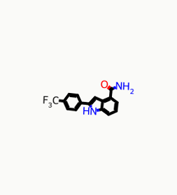 NC(=O)c1cccc2[nH]c(-c3ccc(C(F)(F)F)cc3)cc12